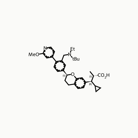 CCN(Cc1cc([C@@H]2CCc3ccc([C@H](C4CC4)[C@H](C)C(=O)O)cc3O2)ccc1-c1ccnc(OC)c1)C(C)(C)C